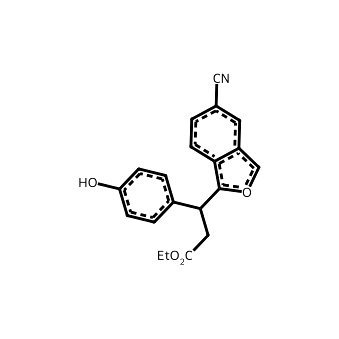 CCOC(=O)CC(c1ccc(O)cc1)c1occ2cc(C#N)ccc12